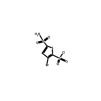 NS(=O)(=O)c1cc(Br)c(S(=O)(=O)Cl)s1